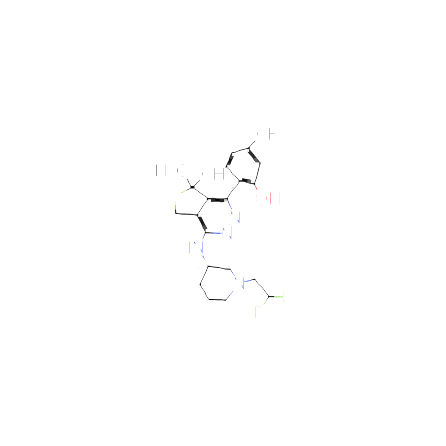 CC1(C)SCc2c(N[C@@H]3CCCN(CC(F)F)C3)nnc(-c3ccc(C(F)(F)F)cc3O)c21